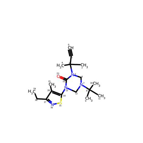 C#CC(C)(C)N1CN(C(C)(C)C)CN(c2snc(CC)c2C)C1=O